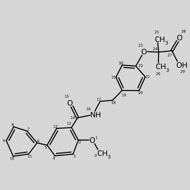 COc1ccc(-c2ccccc2)cc1C(=O)NCCc1ccc(OC(C)(C)C(=O)O)cc1